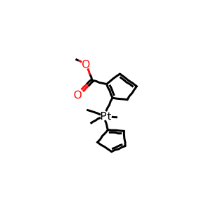 COC(=O)C1=[C]([Pt]([CH3])([CH3])([CH3])[C]2=CC=CC2)CC=C1